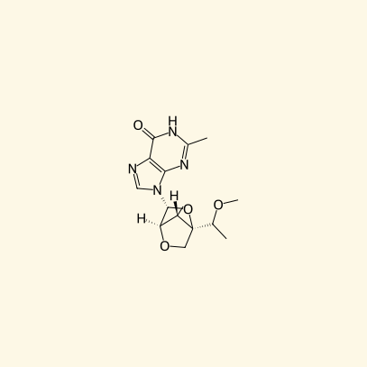 COC(C)[C@@]12CO[C@@H]([C@H](n3cnc4c(=O)[nH]c(C)nc43)O1)[C@@H]2C